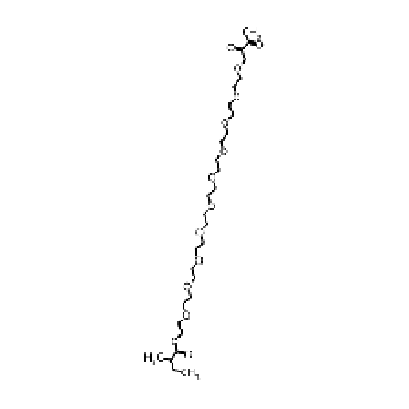 CCC(C)C(=O)OCCOCCOCCOCCOCCOCCOCCOCCOCCOCCOCC(=O)C(C)=O